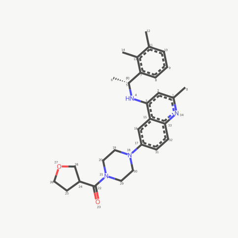 Cc1cc(N[C@H](C)c2cccc(C)c2C)c2cc(N3CCN(C(=O)C4CCOC4)CC3)ccc2n1